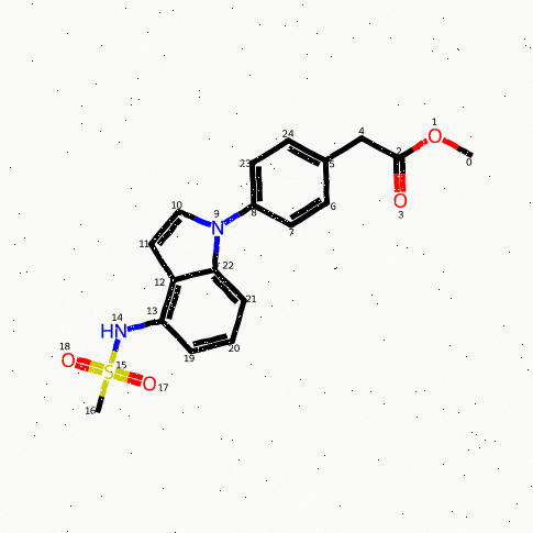 COC(=O)Cc1ccc(-n2ccc3c(NS(C)(=O)=O)cccc32)cc1